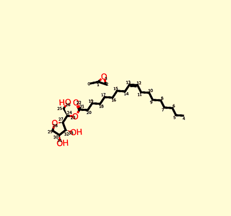 CC1CO1.CCCCCCCC/C=C\CCCCCCCC(=O)O[C@H](CO)[C@H]1OC[C@H](O)[C@H]1O